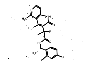 Cc1nccc2[nH]c(=O)c(C(F)(F)C(=O)N[C@@H](C)c3ccc(F)cc3F)c(C)c12